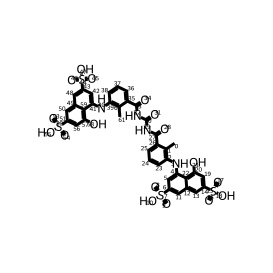 Cc1c(Nc2cc(S(=O)(=O)O)cc3cc(S(=O)(=O)O)cc(O)c23)cccc1C(=O)NC(=O)NC(=O)c1cccc(Nc2cc(S(=O)(=O)O)cc3cc(S(=O)(=O)O)cc(O)c23)c1C